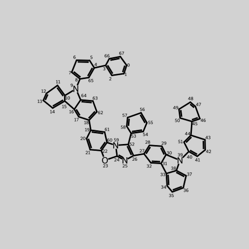 c1ccc(-c2cccc(-n3c4ccccc4c4cc(-c5ccc6oc7nc(-c8ccc9c(c8)c8ccccc8n9-c8cccc(-c9ccccc9)c8)c(-c8ccccc8)n7c6c5)ccc43)c2)cc1